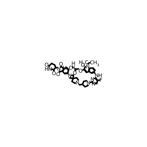 CNC(=O)COc1cc2cc(Nc3nc(N4CCC(CN5CCC6(CC5)CN(c5ccc7c(c5)C(=O)N(C5CCC(=O)NC5=O)C7=O)C6)CC4)ncc3F)ccc2n(C(C)C)c1=O